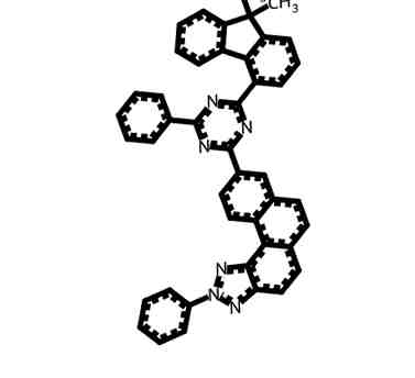 CC1(C)c2ccccc2-c2c(-c3nc(-c4ccccc4)nc(-c4ccc5c(ccc6ccc7nn(-c8ccccc8)nc7c65)c4)n3)cccc21